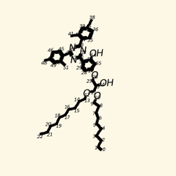 CCCCCCCCCCOC(OCCCCCCCCCC)C(O)COc1ccc(-c2nc(-c3ccc(C)cc3C)nc(-c3ccc(C)cc3C)n2)c(O)c1